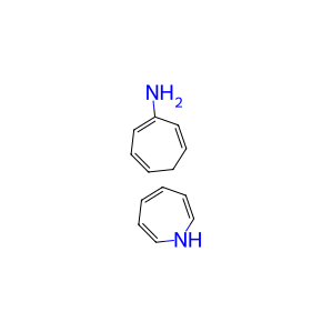 C1=CC=CNC=C1.NC1=CC=CCC=C1